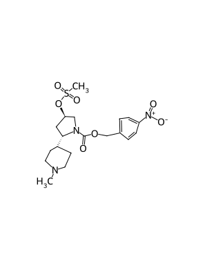 CN1CCC([C@@H]2C[C@@H](OS(C)(=O)=O)CN2C(=O)OCc2ccc([N+](=O)[O-])cc2)CC1